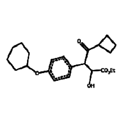 CCOC(=O)C(O)C(C(=O)C1CCC1)c1ccc(OC2CCCCC2)cc1